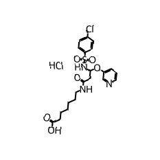 Cl.O=C(O)CCCCCCNC(=O)CC(NS(=O)(=O)c1ccc(Cl)cc1)Oc1cccnc1